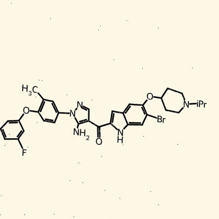 Cc1cc(-n2ncc(C(=O)c3cc4cc(OC5CCN(C(C)C)CC5)c(Br)cc4[nH]3)c2N)ccc1Oc1cccc(F)c1